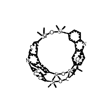 Cc1cc2ccc1CO[Si](C)(C)c1ccc(cc1C)-n1c3ccc4cc3c3cc(ccc31)[Si](C)(C)O[Si](C)(C)c1ccc3c(c1)c1cc(ccc1n3-2)[Si](C)(C)O[Si]4(C)C